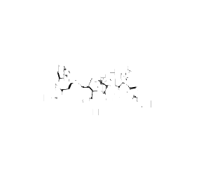 CON=C(C(=O)N[C@@H]1C(=O)N2C(C(=O)O)=C(CSc3cc(OC)nc4cnnn34)CS[C@H]12)c1csc(N)n1